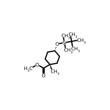 COC(=O)[C@]1(C)CC[C@H](O[Si](C)(C)C(C)(C)C)CC1